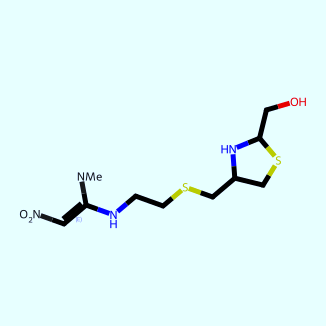 CN/C(=C\[N+](=O)[O-])NCCSCC1CSC(CO)N1